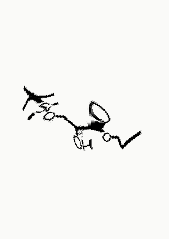 C=CCOC(=O)[C@@H](O)CO[Si](C)(C)C(C)(C)C